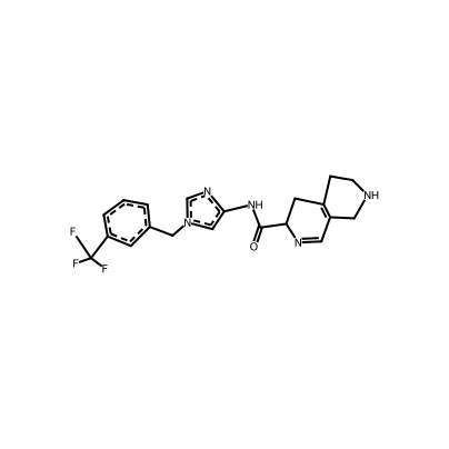 O=C(Nc1cn(Cc2cccc(C(F)(F)F)c2)cn1)C1CC2=C(C=N1)CNCC2